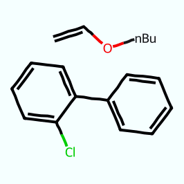 C=COCCCC.Clc1ccccc1-c1ccccc1